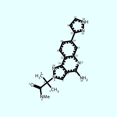 CNC(=O)C(C)(C)n1cc2c(N)nc3cc(-c4cc[nH]n4)ccc3c2n1